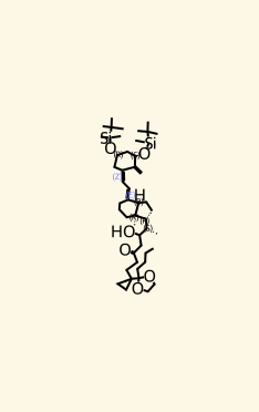 C=C1/C(=C\C=C2/CCC[C@]3(C)[C@@H]([C@H](C)C(O)CC(=O)CCC4(C5(CCCC)OCCO5)CC4)CC[C@@H]23)C[C@@H](O[Si](C)(C)C(C)(C)C)C[C@@H]1O[Si](C)(C)C(C)(C)C